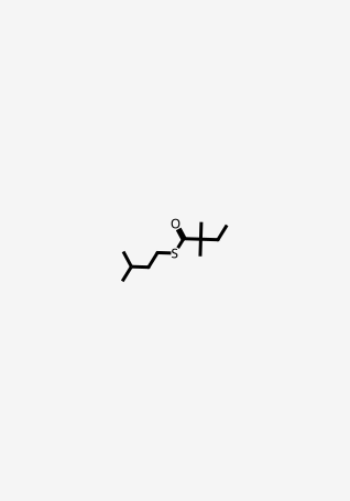 CCC(C)(C)C(=O)SCCC(C)C